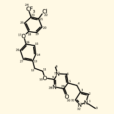 Cn1cc(Cc2cn(C)c(OCCc3ccc(Oc4ccc(Cl)c(C(F)(F)F)c4)cc3)nc2=O)cn1